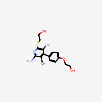 N#Cc1c(N)nc(SCCO)c(C#N)c1-c1ccc(OCCO)cc1